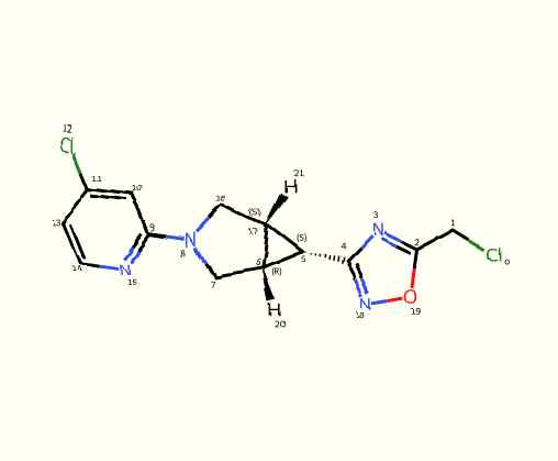 ClCc1nc([C@@H]2[C@@H]3CN(c4cc(Cl)ccn4)C[C@@H]32)no1